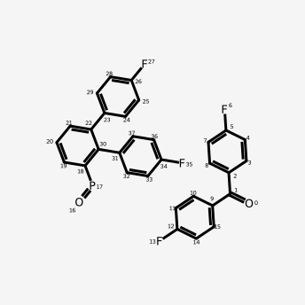 O=C(c1ccc(F)cc1)c1ccc(F)cc1.O=Pc1cccc(-c2ccc(F)cc2)c1-c1ccc(F)cc1